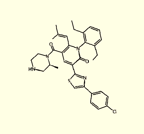 CCc1cccc(CC)c1-n1c(C=C(C)C)c(C(=O)N2CCNC[C@@H]2C)cc(-c2nc(-c3ccc(Cl)cc3)cs2)c1=O